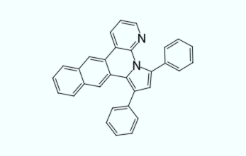 c1ccc(-c2cc(-c3ccccc3)n3c4ncccc4c4cc5ccccc5cc4c23)cc1